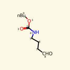 CCCCOC(=O)NCCCC=O